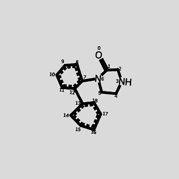 O=C1CNCCN1c1ccccc1-c1ccccc1